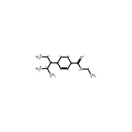 CCOC(=O)C1C=CC(C(CC)C(C)C)CC1